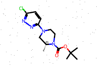 C[C@@H]1CN(c2ccc(Cl)nn2)CCN1C(=O)OC(C)(C)C